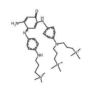 C[N+](C)(C)CCCNc1ccc(/N=C2\C=C(Nc3ccc(N(CCC[N+](C)(C)C)CCC[N+](C)(C)C)cc3)C(=O)C=C2N)cc1